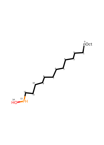 CCCCCCCCCCCCCCCCCCCCPO